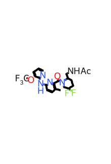 CC(=O)NCC1CCC(F)(F)CN1C(=O)c1nc(Nc2ncccc2OC(F)(F)F)ccc1C